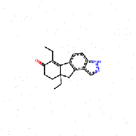 CCC1=C2c3ccc4[nH]ncc4c3CC2(CC)CCC1=O